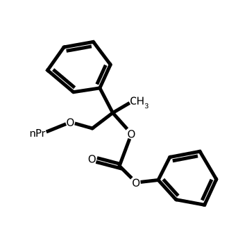 CCCOCC(C)(OC(=O)Oc1ccccc1)c1ccccc1